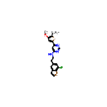 CCOc1cc(-c2cc(NCCc3cc(F)c4sccc4c3)ncn2)sc1C(=O)O